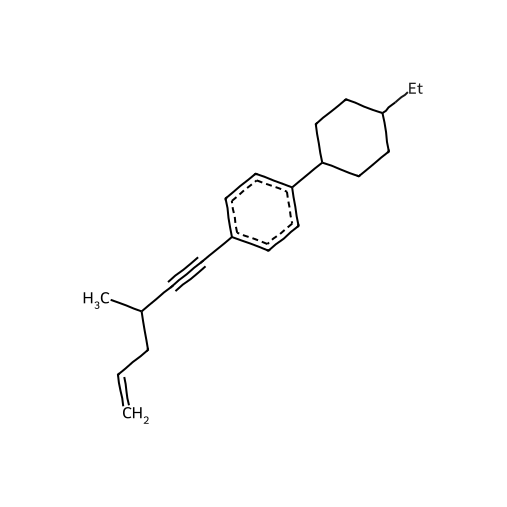 C=CCC(C)C#Cc1ccc(C2CCC(CC)CC2)cc1